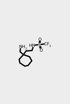 NCC1(CCNS(=O)(=O)C(F)(F)F)CCCCCC1